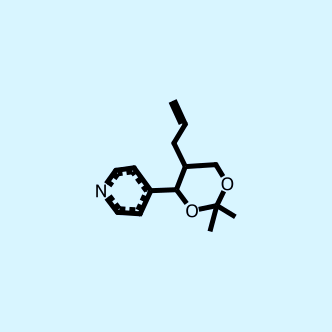 C=CCC1COC(C)(C)OC1c1ccncc1